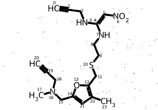 C#CCN/C(=C/[N+](=O)[O-])NCCSCc1oc(CN(C)CC#C)cc1C